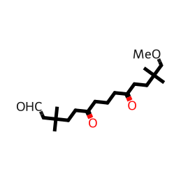 COCC(C)(C)CCC(=O)CCCC(=O)CCC(C)(C)CC=O